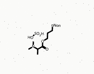 CCCCCCCCCCCCOC(=O)C(C)N(C)C.O=S(=O)(O)O